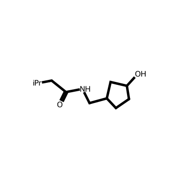 CC(C)CC(=O)NCC1CCC(O)C1